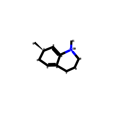 C[C@@H]1C=C2C(=CC1)CCCN2C